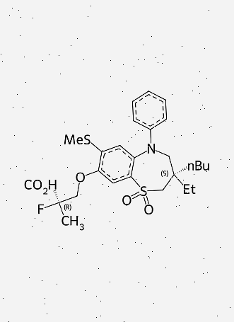 CCCC[C@@]1(CC)CN(c2ccccc2)c2cc(SC)c(OC[C@@](C)(F)C(=O)O)cc2S(=O)(=O)C1